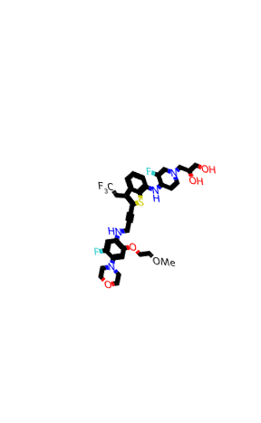 COCCOc1cc(N2CCOCC2)c(F)cc1NCC#Cc1sc2c(NC3CCN(CC(O)CO)CC3F)cccc2c1CC(F)(F)F